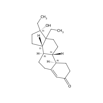 CCC12CC[C@H]3[C@@H](CCC4=CC(=O)CC[C@@H]43)[C@@H]1CC[C@@]2(O)CC